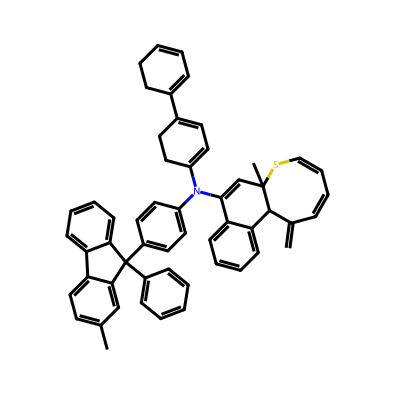 C=C1/C=C\C=C/SC2(C)C=C(N(C3=CC=C(C4=CC=CCC4)CC3)c3ccc(C4(c5ccccc5)c5ccccc5-c5ccc(C)cc54)cc3)c3ccccc3C12